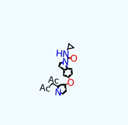 CC(=O)C(C(C)=O)c1cc(Oc2ccc3c(ccn3C(=O)NC3CC3)c2)ccn1